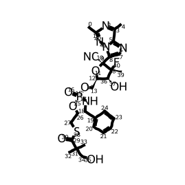 Cc1nc(C)c2ncc([C@]3(C#N)O[C@H](COP(=O)(NCc4ccccc4)OCCSC(=O)C(C)(C)CO)[C@@H](O)[C@@]3(C)F)n2n1